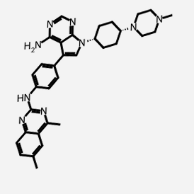 Cc1ccc2nc(Nc3ccc(-c4cn([C@H]5CC[C@@H](N6CCN(C)CC6)CC5)c5ncnc(N)c45)cc3)nc(C)c2c1